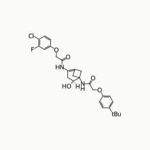 CC(C)(C)c1ccc(OCC(=O)NC23CC(=C(NC(=O)COc4ccc(Cl)c(F)c4)C[C@@H]2O)C3)cc1